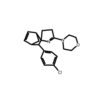 Clc1ccc(C2C3C=CC(C3)C23CCC(N2CCOCC2)=N3)cc1